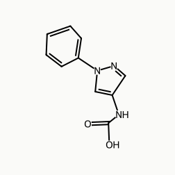 O=C(O)Nc1cnn(-c2ccccc2)c1